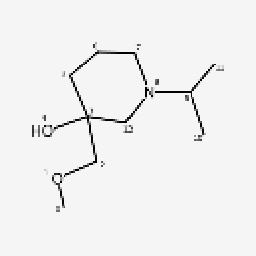 COCC1(O)CCCN(C(C)C)C1